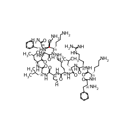 CC(C)C[C@H](NC(=O)[C@@H](CCCNC(=N)N)NC(=O)[C@H](CCCCN)NC(=O)[C@H](N)Cc1ccccc1)C(=O)N[C@H](CCCCN)C(=O)N[C@@H](CS)C(=O)N[C@H](CC(C)C)C(=O)N[C@@H](CC(C)C)C(=O)N[C@H](CCCCN)C(=O)N[C@@H](CCCCN)C(=O)N[C@H](Cc1ccccc1)C(N)=O